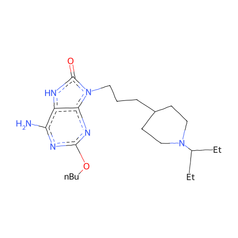 CCCCOc1nc(N)c2[nH]c(=O)n(CCCC3CCN(C(CC)CC)CC3)c2n1